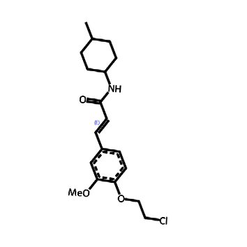 COc1cc(/C=C/C(=O)NC2CCC(C)CC2)ccc1OCCCl